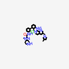 Cc1ccn(Cc2cnc3c(Nc4cccc(-c5cccc(NC(=O)c6nc7c(n6C)CCNC7)c5Cl)c4C)nccc3c2)c1